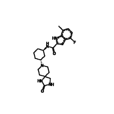 Cc1ccc(F)c2cc(C(=O)N[C@@H]3CCC[C@@H](N4CCC5(CC4)CNC(=O)N5)C3)[nH]c12